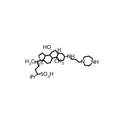 CC(C)[C@@H](CC[C@@H](C)[C@H]1CCC2C3C(CC[C@@]21C)[C@@]1(C)CC[C@H](NCCCN2CCCNCC2)C[C@H]1C[C@H]3O)S(=O)(=O)O